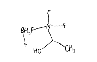 BF.CC(O)[N+](F)(F)F